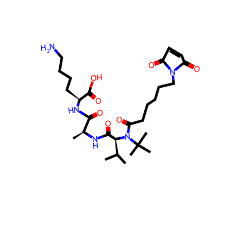 CC(C)[C@@H](C(=O)N[C@@H](C)C(=O)N[C@@H](CCCCN)C(=O)O)N(C(=O)CCCCCN1C(=O)C=CC1=O)C(C)(C)C